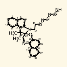 CC1(C)c2c(ccc3ccccc23)N(CCN=NN=NN=N)C12C=Nc1c(ccc3ccccc13)O2